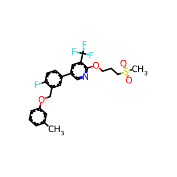 Cc1cccc(OCc2cc(-c3cnc(OCCCS(C)(=O)=O)c(C(F)(F)F)c3)ccc2F)c1